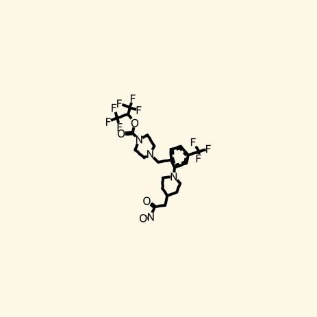 O=NC(=O)CC1CCN(c2cc(C(F)(F)F)ccc2CN2CCN(C(=O)OC(C(F)(F)F)C(F)(F)F)CC2)CC1